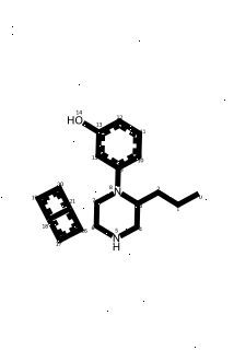 CCCC1CNCCN1c1cccc(O)c1.c1cc2ccc1-2